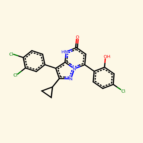 O=c1cc(-c2ccc(Cl)cc2O)n2nc(C3CC3)c(-c3ccc(Cl)c(Cl)c3)c2[nH]1